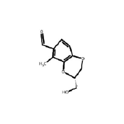 Cc1c(C=O)ccc2c1O[C@@H](CO)CO2